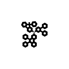 CC1(c2ccccc2)c2ccccc2-c2ccc(N(c3ccc(-c4ccccc4)c(-c4ccccc4)c3)c3ccc4c(c3)c(-c3ccccc3)c(-c3ccccc3)c3ccccc34)cc21